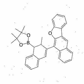 CC1C(c2c3ccccc3cc3c2oc2ccccc23)=Cc2ccccc2C1B1OC(C)(C)C(C)(C)O1